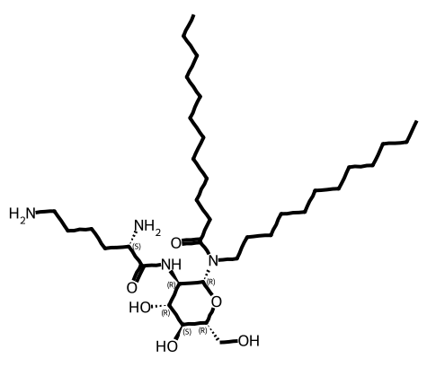 CCCCCCCCCCCCN(C(=O)CCCCCCCCCCC)[C@@H]1O[C@H](CO)[C@@H](O)[C@H](O)[C@H]1NC(=O)[C@@H](N)CCCCN